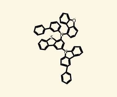 c1ccc(-c2cccc(N(c3cc(-n4c5ccccc5c5cc(-c6ccccc6)ccc54)cc4c3sc3ccccc34)c3cccc4oc5ccccc5c34)c2)cc1